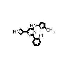 Cc1ccc(Nc2cc(C3CNC3)nc(-c3ccccc3Cl)n2)s1